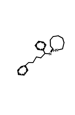 c1ccc(CCCCC(N=C2CCCCCCCN2)c2ccccc2)cc1